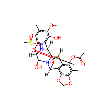 COc1c(C)cc2c(c1O)[C@@H]1N[C@H](C2)[C@H](O)N2C1[C@@H]1SC[C@H](OS(C)(=O)=O)C(=O)OC[C@H]2c2c3c(c(C)c(OC(C)=O)c21)OCO3